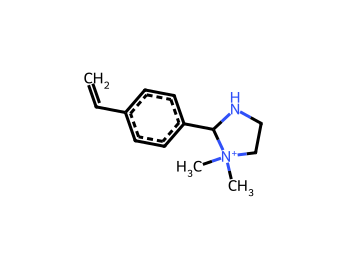 C=Cc1ccc(C2NCC[N+]2(C)C)cc1